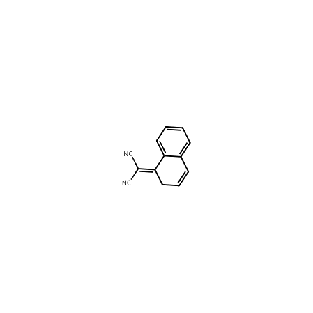 N#CC(C#N)=C1CC=Cc2ccccc21